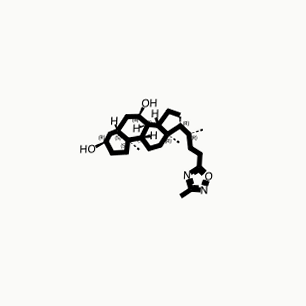 Cc1noc(CC[C@@H](C)[C@H]2CC[C@H]3[C@@H]4[C@H](O)C[C@@H]5C[C@H](O)CC[C@]5(C)[C@H]4CC[C@]23C)n1